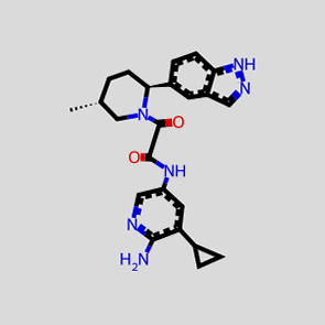 C[C@@H]1CC[C@@H](c2ccc3[nH]ncc3c2)N(C(=O)C(=O)Nc2cnc(N)c(C3CC3)c2)C1